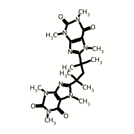 Cn1c(=O)c2c(nc(C(C)(C)CC(C)(C)c3nc4c(c(=O)n(C)c(=O)n4C)n3C)n2C)n(C)c1=O